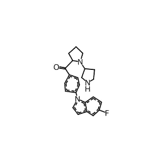 O=C(c1ccc(-n2ccc3cc(F)ccc32)cc1)C1CCCN1C1CCNC1